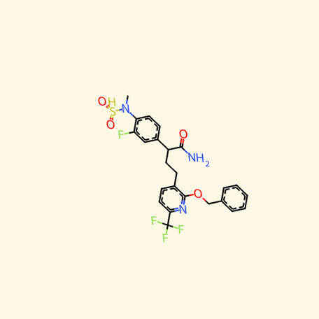 CN(c1ccc(C(CCc2ccc(C(F)(F)F)nc2OCc2ccccc2)C(N)=O)cc1F)[SH](=O)=O